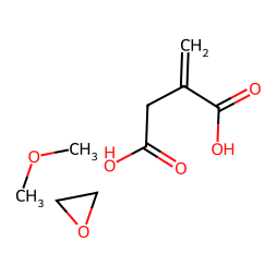 C1CO1.C=C(CC(=O)O)C(=O)O.COC